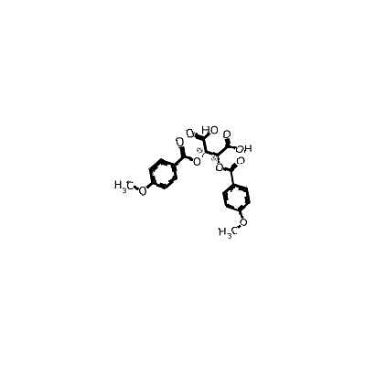 COc1ccc(C(=O)O[C@H](C(=O)O)[C@H](OC(=O)c2ccc(OC)cc2)C(=O)O)cc1